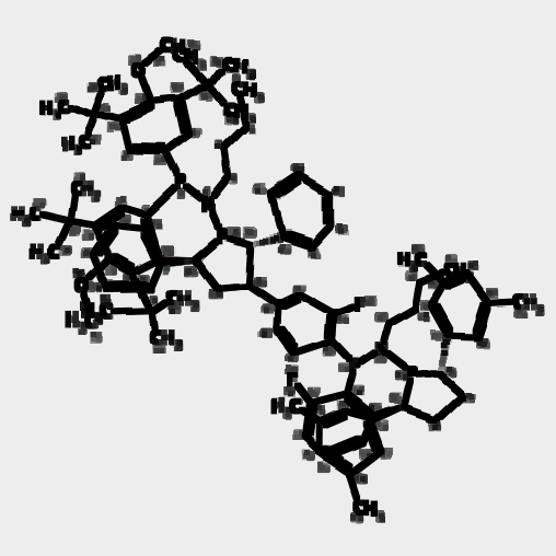 CCCCN(P(c1cc(C(C)(C)C)c(OC)c(C(C)(C)C)c1)c1cc(C(C)(C)C)c(OC)c(C(C)(C)C)c1)P1[C@H](c2ccccc2)C(c2ccc(P(c3ccccc3F)N(CCCC)P3[C@H](c4cc(C)cc(C)c4)CC[C@H]3c3cc(C)cc(C)c3)c(F)c2)C[C@H]1c1ccccc1